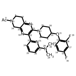 CC(=O)N1CCc2nc(N3CCC(Oc4ccc(F)cc4F)CC3)c(-c3cccc(N(C)C)n3)nc2C1